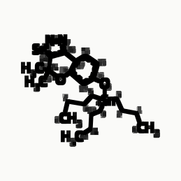 CCC[CH2][Sn]([CH2]CCC)([CH2]CCC)[O]c1ccc2c(c1)OC(C)(C)c1[se]nnc1-2